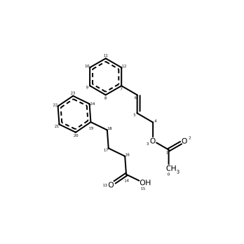 CC(=O)OCC=Cc1ccccc1.O=C(O)CCCc1ccccc1